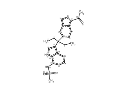 CCC(CC)(c1ccc2c(ccn2C(C)=O)c1)c1c[nH]c2c(NS(C)(=O)=O)cccc12